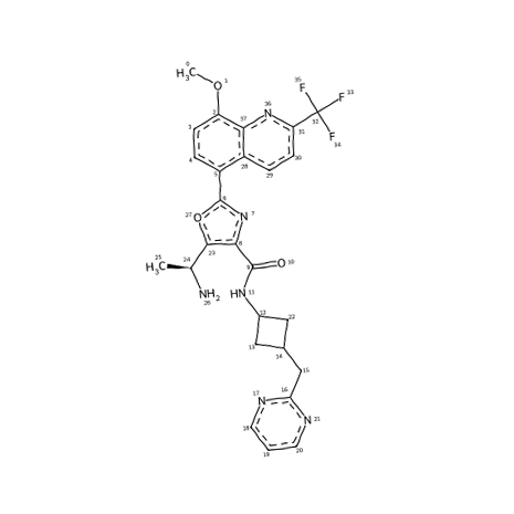 COc1ccc(-c2nc(C(=O)NC3CC(Cc4ncccn4)C3)c([C@H](C)N)o2)c2ccc(C(F)(F)F)nc12